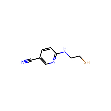 N#Cc1ccc(NCCS)nc1